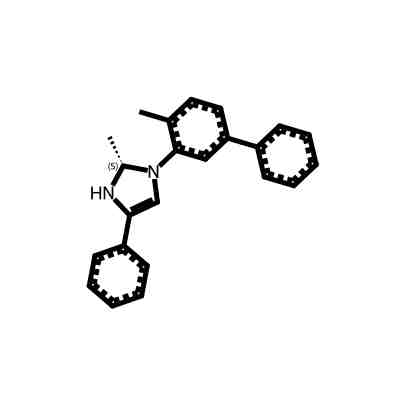 Cc1ccc(-c2ccccc2)cc1N1C=C(c2ccccc2)N[C@@H]1C